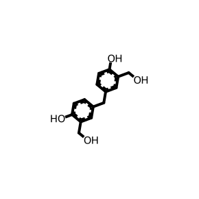 OCc1cc(Cc2ccc(O)c(CO)c2)ccc1O